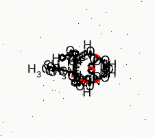 CC(C)(C)OC(=O)NCCOCCNC(=O)C1CCCN(C(=O)c2cccc(=O)n2OCc2ccccc2)CCCNC(=O)C2=CC=C(C(=O)N[C@@H]3COC[C@@H]3NC(=O)c3ccc(n(OCc4ccccc4)c3=O)C(=O)NCCCN1C(=O)c1cccc(=O)n1OCc1ccccc1)C(=O)C2OCc1ccccc1